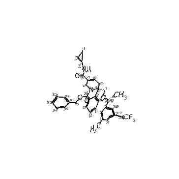 Cc1cc([C@@H](C)OC[C@@]2(c3ccccc3)CC=C(C(=O)NC3CC3)CN2C(=O)OCc2ccccc2)cc(C(F)(F)F)c1